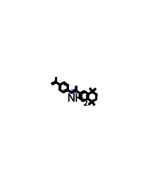 C=C(C)c1ccc(/C(N)=C(\C)c2ccc3c(c2)C(C)(C)CCC3(C)C)cc1